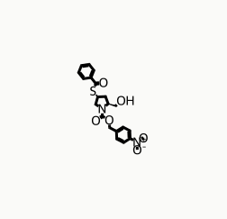 O=C(S[C@H]1C[C@@H](CO)N(C(=O)OCc2ccc([N+](=O)[O-])cc2)C1)c1ccccc1